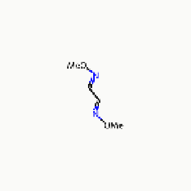 CON=CC=NOC